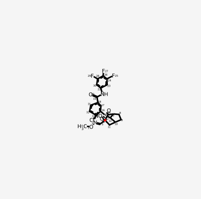 CO/N=C/[C@]1(O)CC2CCC(C1)[C@H]2S(=O)(=O)c1cc(C(=O)Nc2cc(F)c(F)c(F)c2)ccc1Cl